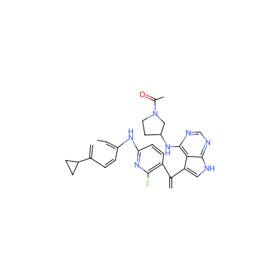 C=C(c1ccc(NC(/C=C\C(=C)C2CC2)=C/C)nc1F)c1c[nH]c2ncnc(NC3CCN(C(C)=O)C3)c12